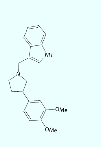 COc1ccc(C2CCN(Cc3c[nH]c4ccccc34)C2)cc1OC